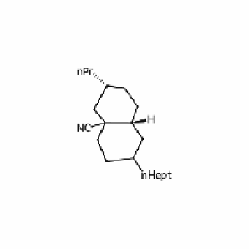 CCCCCCCC1CCC2(C#N)C[C@H](CCC)CC[C@@H]2C1